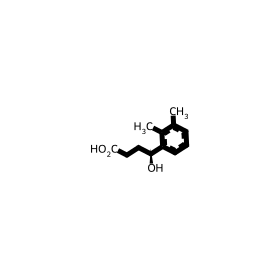 Cc1cccc([C@@H](O)CCC(=O)O)c1C